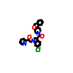 O=C(Cn1cc(C(=O)N2CCC3(CC2)OCc2ccccc23)c2ccc(Cl)cc21)c1ccccn1